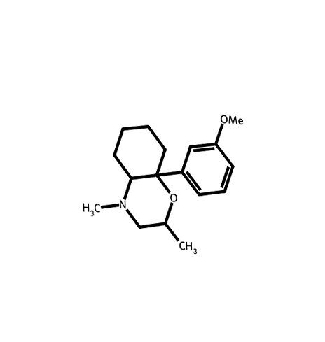 COc1cccc(C23CCCCC2N(C)CC(C)O3)c1